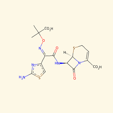 CC(C)(O/N=C(\C(=O)N[C@@H]1C(=O)N2C(C(=O)O)=CCS[C@H]12)c1csc(N)n1)C(=O)O